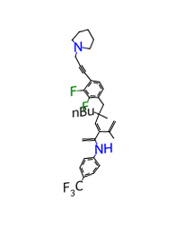 C=C(C)/C(=C\C(C)(CCCC)Cc1ccc(C#CCN2CCCCC2)c(F)c1F)C(=C)Nc1ccc(C(F)(F)F)cc1